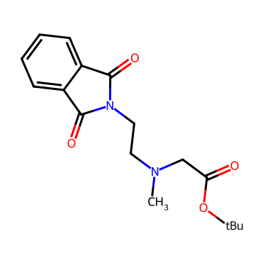 CN(CCN1C(=O)c2ccccc2C1=O)CC(=O)OC(C)(C)C